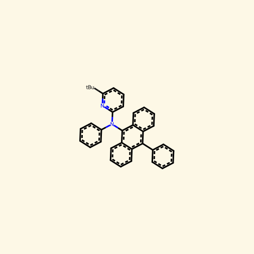 CC(C)(C)c1cccc(N(c2ccccc2)c2c3ccccc3c(-c3ccccc3)c3ccccc23)n1